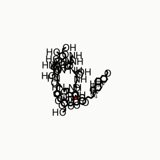 COC1CC[C@@]2(C)C(CC[C@H]3[C@@H]4CC[C@H]([C@H](C)CCC5OCC6OC(OC7C(CO)OC(Oc8ccc(CC9NC(=O)C(C(C)c%10ccccc%10)NC(=O)CNC(=O)C(CO)NC(=O)C(C(O)C%10CNC(=N)N%10C%10OC(CO)C(O)C(O)C%10O)NC(=O)C(C(O)C%10CNC(=N)N%10)NC9=O)cc8)C(O)C7O)C(O)C(O)C6O5)[C@@]4(C)CC[C@@H]32)C1